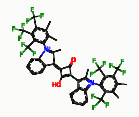 CC1=[N+](c2c(C)c(C)c(C(F)(F)F)c(C(F)(F)F)c2C(F)(F)F)c2ccccc2/C1=C1/C(=O)C(c2c(C)n(-c3c(C(F)(F)F)c(C)c(C)c(C(F)(F)F)c3C(F)(F)F)c3ccccc23)=C1O